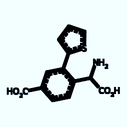 NC(C(=O)O)c1ccc(C(=O)O)cc1-c1cccs1